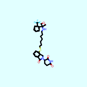 O=C1CCC(N2Cc3c(SCCCCCCCNC4(c5ccccc5C(F)(F)F)COC4)cccc3C2=O)C(=O)N1